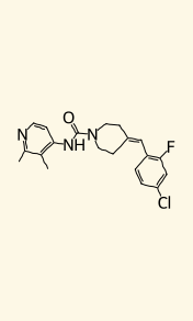 Cc1nccc(NC(=O)N2CCC(=Cc3ccc(Cl)cc3F)CC2)c1C